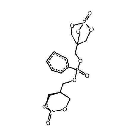 O=P12OCC(COP(=O)(OCC34COP(=O)(OC3)OC4)c3ccccc3)(CO1)CO2